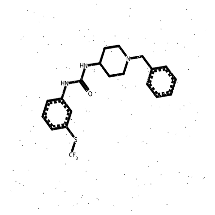 O=C(Nc1cccc(SC(F)(F)F)c1)NC1CCN(Cc2ccccc2)CC1